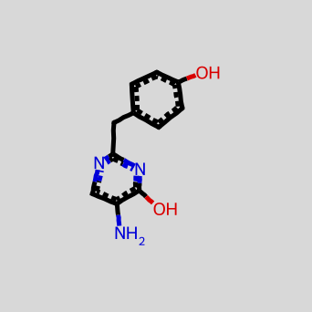 Nc1cnc(Cc2ccc(O)cc2)nc1O